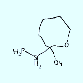 OC1([SiH2]P)CCCCO1